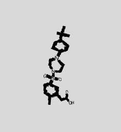 Cc1ccc(S(=O)(=O)N2CCN(c3ccc(C(C)(C)C)cc3)CC2)cc1CC(=O)O